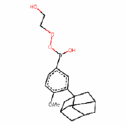 COc1ccc(B(O)OOCCO)cc1C12CC3CC(CC(C3)C1)C2